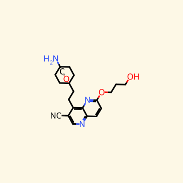 N#Cc1cnc2ccc(OCCCO)nc2c1CCC12CCC(N)(CC1)CO2